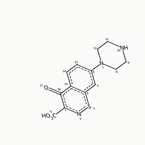 O=C(O)c1nsc2cc(N3CCNCC3)ccc2c1=O